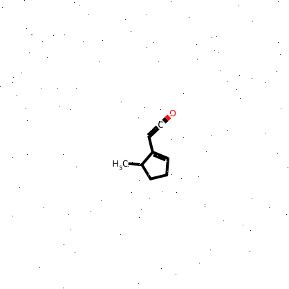 CC1CCC=C1C=C=O